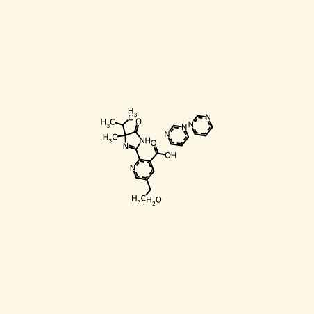 CCc1cnc(C2=NC(C)(C(C)C)C(=O)N2)c(C(=O)O)c1.O.c1cncnc1.c1cncnc1